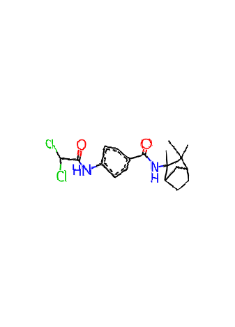 CC1(C)C2CCC(C2)C1(C)NC(=O)c1ccc(NC(=O)C(Cl)Cl)cc1